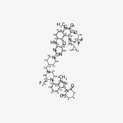 Cn1nc(N2C(=O)CCCC2=O)c2cccc(N3CCN(CC4CCN(c5ncc(Cl)c(Nc6ccc7c(c6)c6c(c(=O)n7C)OCC(F)(F)[C@H](C7CC7)N6)n5)CC4)C[C@H]3C(F)(F)F)c21